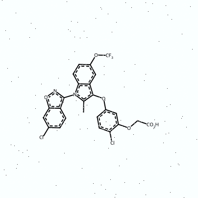 Cc1c(Oc2ccc(Cl)c(OCC(=O)O)c2)c2cc(OC(F)(F)F)ccc2n1-c1noc2cc(Cl)ccc12